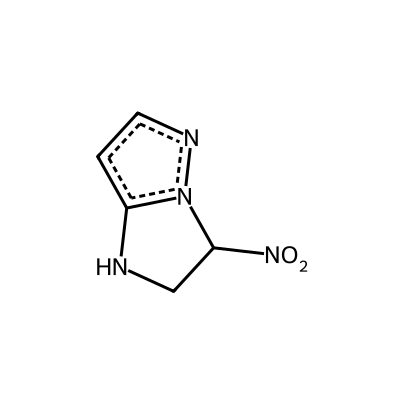 O=[N+]([O-])C1CNc2ccnn21